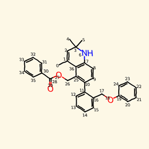 CC1=CC(C)(C)Nc2ccc(-c3ccccc3COc3ccccc3)c(COC(=O)c3ccccc3)c21